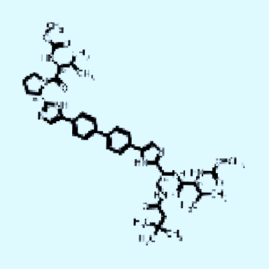 COC(=O)N[C@H](C(=O)N[C@@H](CNC(=O)CC(C)(C)C)c1ncc(-c2ccc(-c3ccc(-c4cnc([C@@H]5CCCN5C(=O)[C@@H](NC(=O)OC)C(C)C)[nH]4)cc3)cc2)[nH]1)C(C)C